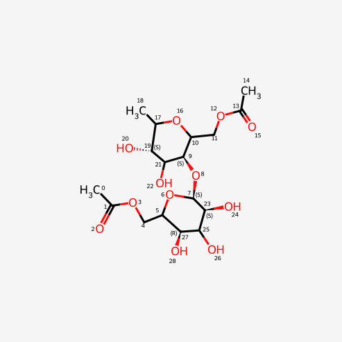 CC(=O)OCC1O[C@@H](O[C@@H]2C(COC(C)=O)OC(C)[C@@H](O)C2O)[C@@H](O)C(O)[C@H]1O